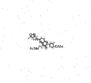 COc1ccc(-c2nc3ccc(NCc4cc(C)on4)nc3n(CCNC(C)=O)c2=O)cc1